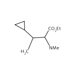 [CH2]C(C1CC1)C(NC)C(=O)OCC